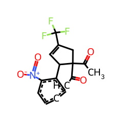 CC(=O)C1(C(C)=O)CC(C(F)(F)F)=CC1c1ccccc1[N+](=O)[O-]